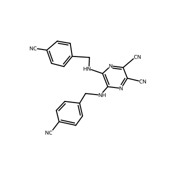 N#Cc1ccc(CNc2nc(C#N)c(C#N)nc2NCc2ccc(C#N)cc2)cc1